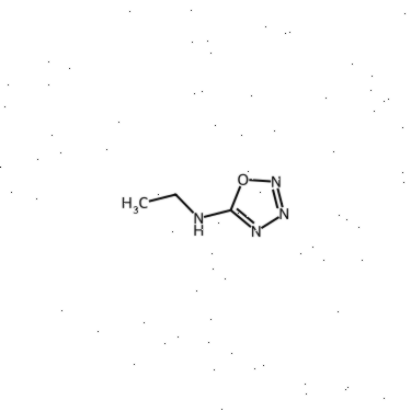 CCNc1nnno1